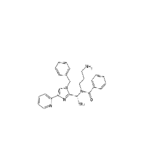 CC(C)(C)[C@H](c1nc(-c2ccccn2)cn1Cc1ccccc1)N(CCCN)C(=O)c1ccccc1